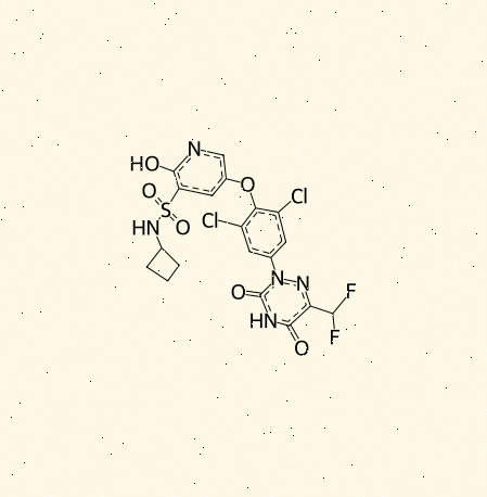 O=c1[nH]c(=O)n(-c2cc(Cl)c(Oc3cnc(O)c(S(=O)(=O)NC4CCC4)c3)c(Cl)c2)nc1C(F)F